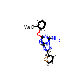 COc1ccccc1Oc1nc(N)n2nc(-c3cccs3)nc2n1